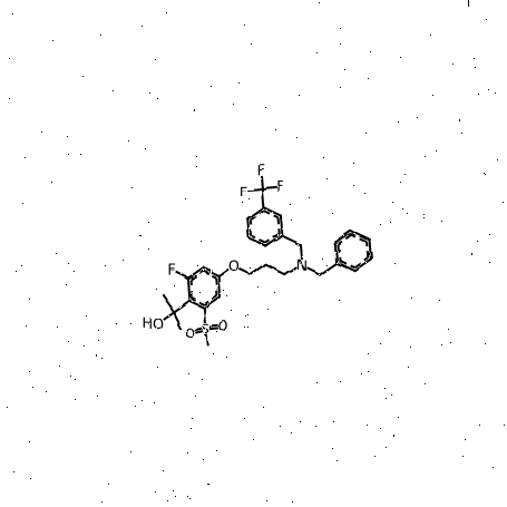 CC(C)(O)c1c(F)cc(OCCCN(Cc2ccccc2)Cc2cccc(C(F)(F)F)c2)cc1S(C)(=O)=O